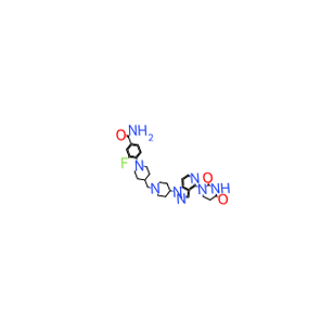 NC(=O)c1ccc(N2CCC(CN3CCC(n4ncc5c(N6CCC(=O)NC6=O)nccc54)CC3)CC2)c(F)c1